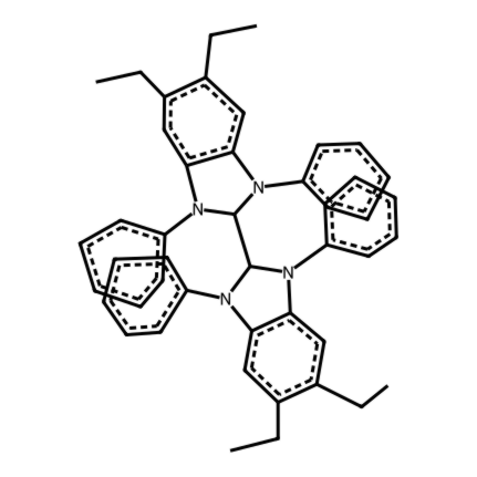 CCc1cc2c(cc1CC)N(c1ccccc1)C(C1N(c3ccccc3)c3cc(CC)c(CC)cc3N1c1ccccc1)N2c1ccccc1